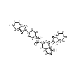 Cc1ccc2nc(-c3ccc(NC(=O)c4cc(-c5cc6ccccc6s5)c5[nH]ncc5c4)cc3)sc2c1